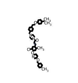 Cc1ccc(COc2ccc(Oc3cc(C)c(/C=C/C(=O)N4CCN(Cc5ccc(CCOc6ccc(C(C)C)cc6)cc5)CC4)cc3Cl)nc2)cc1